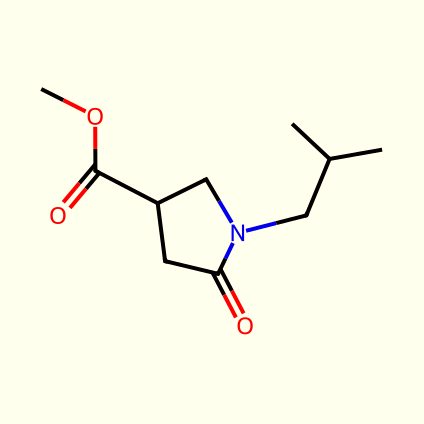 COC(=O)C1CC(=O)N(CC(C)C)C1